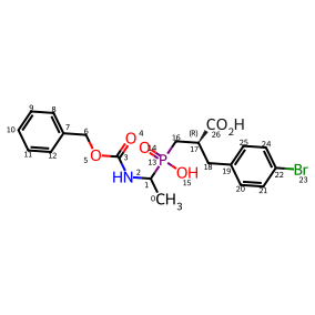 CC(NC(=O)OCc1ccccc1)P(=O)(O)C[C@H](Cc1ccc(Br)cc1)C(=O)O